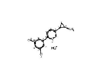 Cl.NC1CC1c1ccc(-c2cc(Cl)cc(Cl)c2)nc1